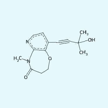 CN1C(=O)CCOc2c(C#CC(C)(C)O)ccnc21